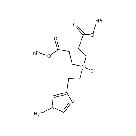 CCCOC(=O)CC[N+](C)(CCC(=O)OCCC)CCc1cn(C)cn1